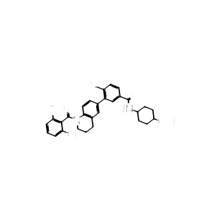 O=C(NC1CCC(O)CC1)c1ccc(Cl)c(-c2ccc3c(c2)CCCN3C(=O)c2c(F)cccc2Cl)c1